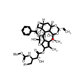 C=C[C@H]1O[C@H]2C[C@H]3OC[C@@]3(OC(C)=O)[C@H]3[C@H](OC(=O)c4ccccc4)[C@]4(C(C)(C)O)CC(OC(=O)[C@H](O)C(CC(C)C)NC(=O)OC(C)(C)C)C(C)=C4[C@H](C)[C@H](O1)[C@]23C